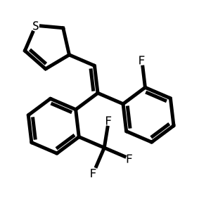 Fc1ccccc1C(=CC1C=CSC1)c1ccccc1C(F)(F)F